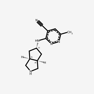 Cc1cc(C#N)c(N[C@@H]2C[C@H]3CNC[C@H]3C2)nn1